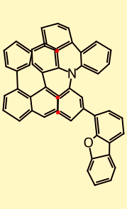 c1ccc(-c2ccccc2N(c2cccc(-c3cccc4c3oc3ccccc34)c2)c2ccccc2-c2cccc3cccc(-c4ccccc4)c23)cc1